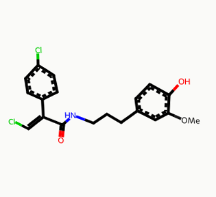 COc1cc(CCCNC(=O)C(=CCl)c2ccc(Cl)cc2)ccc1O